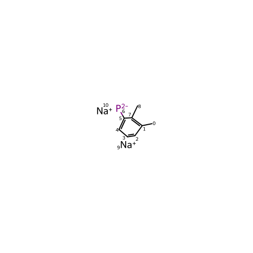 Cc1cccc([P-2])c1C.[Na+].[Na+]